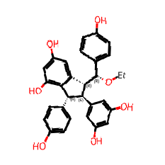 CCO[C@@H](c1ccc(O)cc1)[C@H]1c2cc(O)cc(O)c2[C@@H](c2ccc(O)cc2)[C@@H]1c1cc(O)cc(O)c1